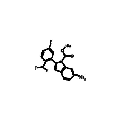 CC(C)(C)OC(=O)n1c(-c2cc(F)ccc2C(F)F)cc2ccc(N)cc21